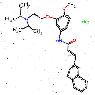 COc1ccc(NC(=O)/C=C/c2ccc3ccccc3c2)cc1OCCN(C(C)C)C(C)C.Cl